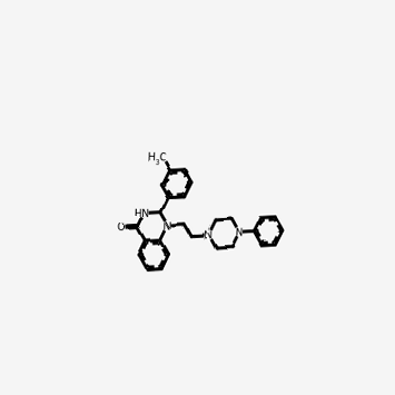 Cc1cccc(C2NC(=O)c3ccccc3N2CCN2CCN(c3ccccc3)CC2)c1